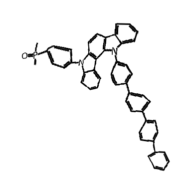 CP(C)(=O)c1ccc(-n2c3ccccc3c3c2ccc2c4ccccc4n(-c4ccc(-c5ccc(-c6ccc(-c7ccccc7)cc6)cc5)cc4)c23)cc1